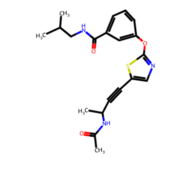 CC(=O)NC(C)C#Cc1cnc(Oc2cccc(C(=O)NCC(C)C)c2)s1